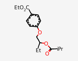 CCOC(=O)c1ccc(OCC(CC)OC(=O)C(C)C)cc1